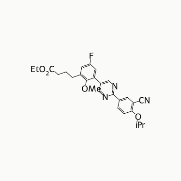 CCOC(=O)CCCc1cc(F)cc(-c2cnc(-c3ccc(OC(C)C)c(C#N)c3)nc2)c1OC